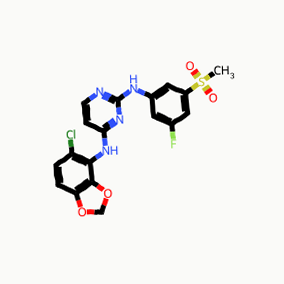 CS(=O)(=O)c1cc(F)cc(Nc2nccc(Nc3c(Cl)ccc4c3OCO4)n2)c1